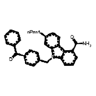 CCCCCc1c[c]c2c3c(C(N)=O)cccc3n(Cc3ccc(C(=O)c4ccccc4)cc3)c2c1